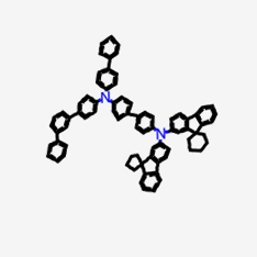 c1ccc(-c2ccc(N(c3ccc(-c4ccc(N(c5ccc6c(c5)C5(CCCCC5)c5ccccc5-6)c5ccc6c(c5)C5(CCCC5)c5ccccc5-6)cc4)cc3)c3ccc(-c4cccc(-c5ccccc5)c4)cc3)cc2)cc1